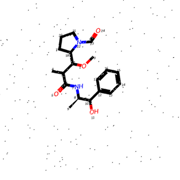 COC(C(C)C(=O)N[C@H](C)C(O)c1ccccc1)C1CCCN1C=O